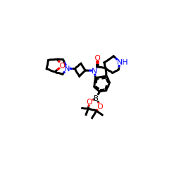 CC1(C)OB(c2ccc3c(c2)N(C2CC(N4CC5CCC(C4)O5)C2)C(=O)C32CCNCC2)OC1(C)C